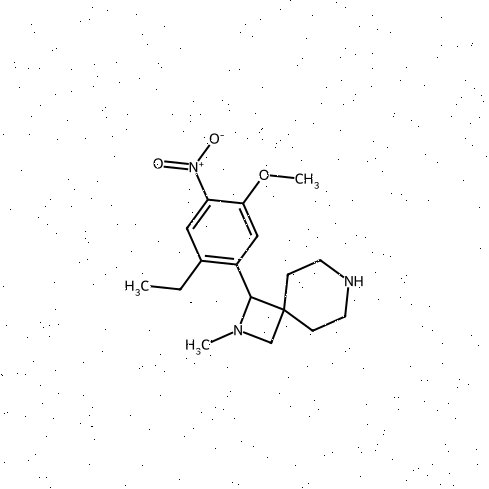 CCc1cc([N+](=O)[O-])c(OC)cc1C1N(C)CC12CCNCC2